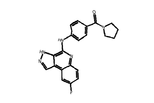 O=C(c1ccc(Nc2nc3ccc(F)cc3c3cn[nH]c23)cc1)N1CCCC1